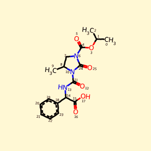 CC(C)OC(=O)N1CC(C)N(C(=O)NC(C(=O)O)c2ccccc2)C1=O